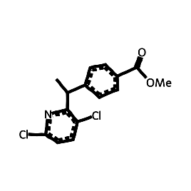 COC(=O)c1ccc(C(C)c2nc(Cl)ccc2Cl)cc1